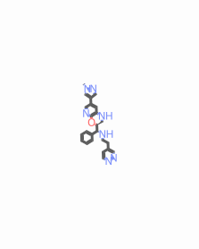 Cn1cc(-c2cnc3c(c2)NC[C@@H]([C@H](NCCc2ccnnc2)c2ccccc2)O3)cn1